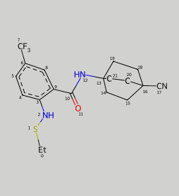 CCSNc1ccc(C(F)(F)F)cc1C(=O)NC12CCC(C#N)(CC1)CC2